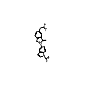 C=C1c2cc(CC(F)F)ccc2CN1c1ccc2c(ccn2C(F)F)c1